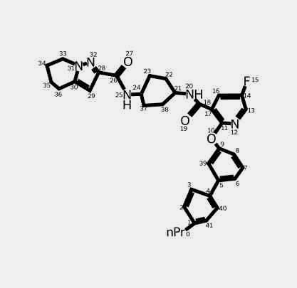 [CH2]CCc1ccc(-c2cccc(Oc3ncc(F)cc3C(=O)NC3CCC(NC(=O)c4cc5n(n4)CCCC5)CC3)c2)cc1